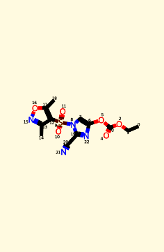 CCOC(=O)Oc1cn(S(=O)(=O)c2c(C)noc2C)c(C#N)n1